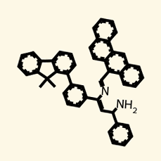 CC1(C)c2ccccc2-c2cccc(-c3cccc(C(=C/C(N)c4ccccc4)/N=C/c4c5ccccc5cc5c4ccc4ccccc45)c3)c21